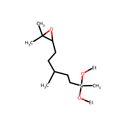 CCO[Si](C)(CCC(C)CCC1OC1(C)C)OCC